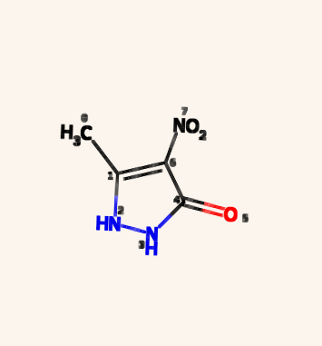 Cc1[nH][nH]c(=O)c1[N+](=O)[O-]